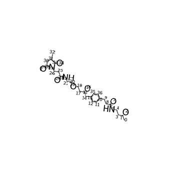 CC(=O)CCNC(=O)CCc1ccc(CC(=O)CCOCCNC(=O)CCN2C(=O)CC(C)C2=O)cc1